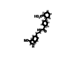 N#Cc1c[nH]c2ccc(CCNC(=O)c3ccc(-c4ccccc4C(=O)O)cc3)cc12